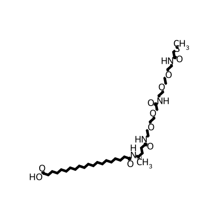 CSCC(=O)NCCOCCOCCNC(=O)COCCOCCNC(=O)CC[C@@H](C)NC(=O)CCCCCCCCCCCCCCCCCCC(=O)O